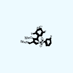 CNCc1cn(S(=O)(=O)c2cccc(F)c2)c(-c2cc(F)ccc2F)c1OC.Cl